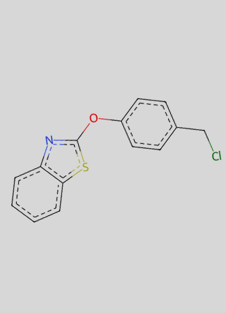 ClCc1ccc(Oc2nc3ccccc3s2)cc1